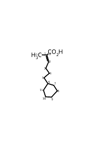 CC(=CCCCC1CCCCC1)C(=O)O